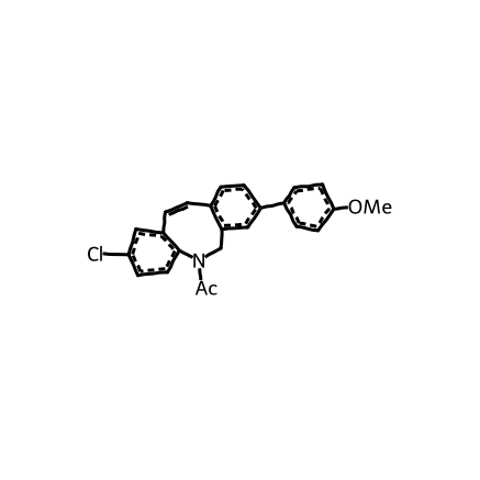 COc1ccc(-c2ccc3c(c2)CN(C(C)=O)c2ccc(Cl)cc2/C=C\3)cc1